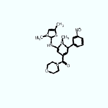 CC1=CN(C)C(NC2=CC(C(=O)N3CCOCC3)=CC(c3cccc(N=O)c3)N2C)S1